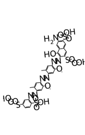 COc1cc(N=Nc2cc(SOOO)ccc2S(=O)(=O)O)c(C)cc1N=Nc1cc(OC)c(N=Nc2c(SOOO)cc3cc(S(=O)(=O)O)c(N)cc3c2O)cc1C